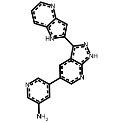 Nc1cncc(-c2cnc3[nH]nc(-c4cc5ncccc5[nH]4)c3c2)c1